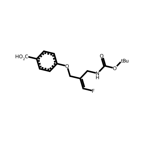 CC(C)(C)OC(=O)NC/C(=C\F)COc1ccc(C(=O)O)cc1